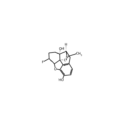 CN1CC[C@]23c4c5ccc(O)c4OC2C(F)CC[C@@]3(O)[C@H]1C5